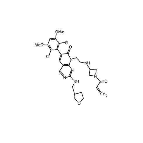 C=CC(=O)N1CC(NCCn2c(=O)c(-c3c(Cl)c(OC)cc(OC)c3Cl)cc3cnc(NCC4CCOC4)nc32)C1